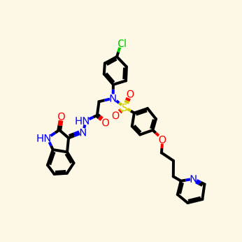 O=C(CN(c1ccc(Cl)cc1)S(=O)(=O)c1ccc(OCCCc2ccccn2)cc1)N/N=C1\C(=O)Nc2ccccc21